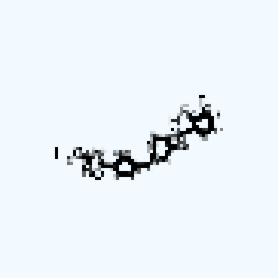 Cc1noc(-c2ccc(CN3Cc4nc(-c5cccc(F)c5F)[nH]c4C=N3)cc2)n1